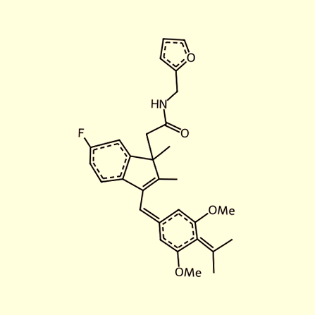 COc1cc(=CC2=C(C)C(C)(CC(=O)NCc3ccco3)c3cc(F)ccc32)cc(OC)c1=C(C)C